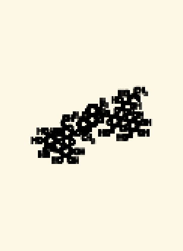 C=C1CC23CCC4C(C)(C(=O)OC5OC(CO)C(O)C(OC6OC(CO)C(O)C(O)C6O)C5OC(O)C(O)C(O)C(O)C(C)I)CCCC4(C)C2CCC1(OC1OC(CO)C(O)C(OC2OC(CO)C(O)C(O)C2O)C1OC1OC(CO)C(O)C(O)C1O)C3